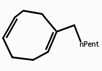 CCCCCCC1=CCCC=CCC1